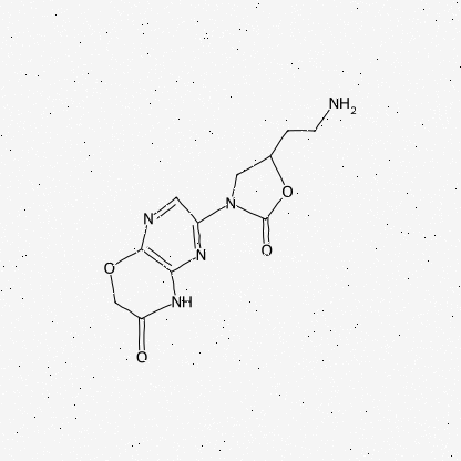 NCCC1CN(c2cnc3c(n2)NC(=O)CO3)C(=O)O1